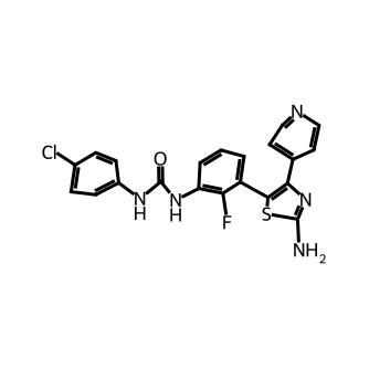 Nc1nc(-c2ccncc2)c(-c2cccc(NC(=O)Nc3ccc(Cl)cc3)c2F)s1